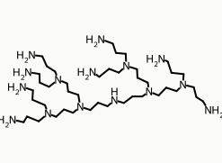 NCCCN(CCCN)CCCN(CCCNCCCN(CCCN(CCCN)CCCN)CCCN(CCCN)CCCN)CCCN(CCCN)CCCN